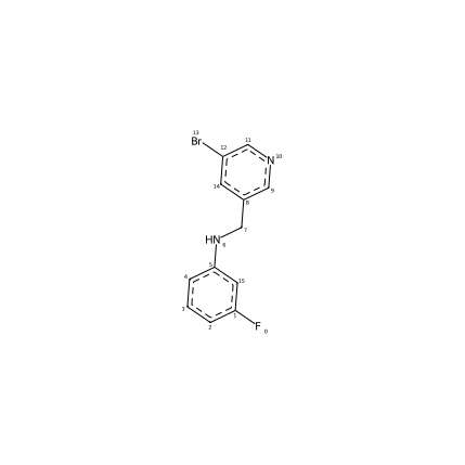 Fc1cccc(NCc2cncc(Br)c2)c1